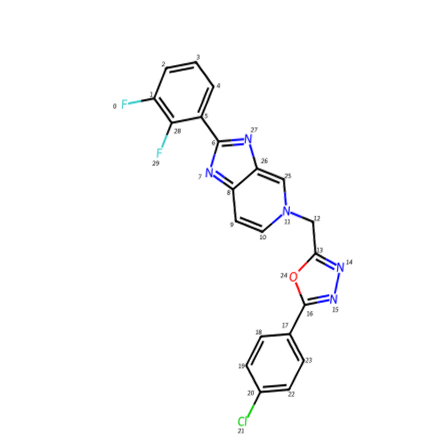 Fc1cccc(-c2nc3ccn(Cc4nnc(-c5ccc(Cl)cc5)o4)cc-3n2)c1F